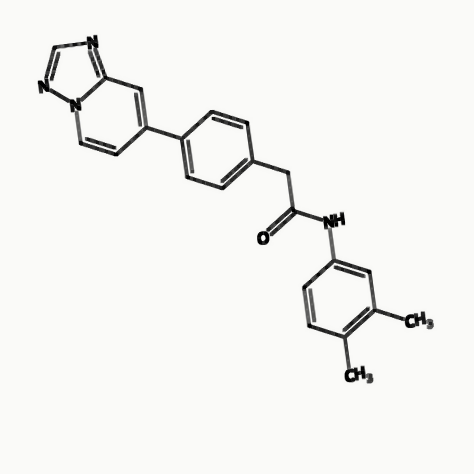 Cc1ccc(NC(=O)Cc2ccc(-c3ccn4ncnc4c3)cc2)cc1C